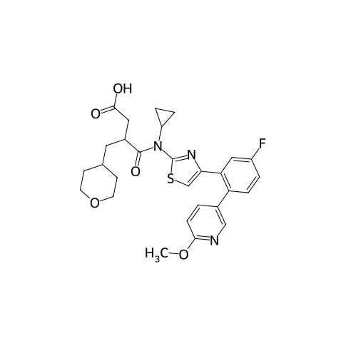 COc1ccc(-c2ccc(F)cc2-c2csc(N(C(=O)C(CC(=O)O)CC3CCOCC3)C3CC3)n2)cn1